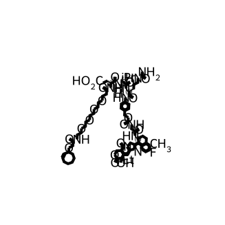 CC[C@@]1(O)C(=O)OCc2c1cc1n(c2=O)Cc2c-1nc1cc(F)c(C)c3c1c2[C@@H](NC(=O)CNC(=O)OCc1ccc(NC(=O)[C@H](CCCNC(N)=O)NC(=O)[C@@H](NC(=O)[C@H](CCC(=O)O)NC(=O)CCOCCOCCOCCOCCNC(=O)COC2C#CCCCCC2)C(C)C)cc1)CC3